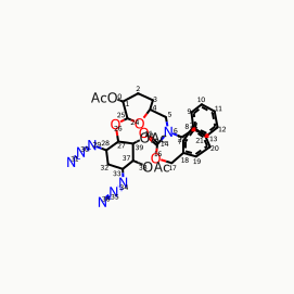 CC(=O)OC1CCC(CN(Cc2ccccc2)C(=O)OCc2ccccc2)OC1OC1C(N=[N+]=[N-])CC(N=[N+]=[N-])C(OC(C)=O)C1OC(C)=O